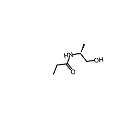 CCC(=O)N[C@@H](C)CO